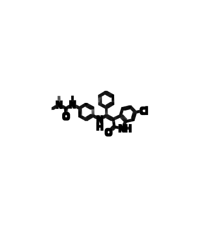 CN(C)C(=O)N(C)c1ccc(N/C(=C2\C(=O)Nc3cc(Cl)ccc32)c2ccccc2)cc1